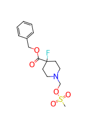 CS(=O)(=O)OCN1CCC(F)(C(=O)OCc2ccccc2)CC1